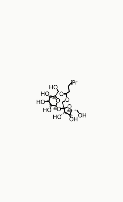 CC(C)CCC(=O)OC[C@@]1(O[C@H]2O[C@H](CO)[C@@H](O)[C@H](O)[C@H]2O)O[C@H](CO)[C@@H](O)[C@@H]1O